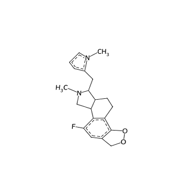 CN1CC2c3c(F)cc4c(c3CCC2C1Cc1cccn1C)OOC4